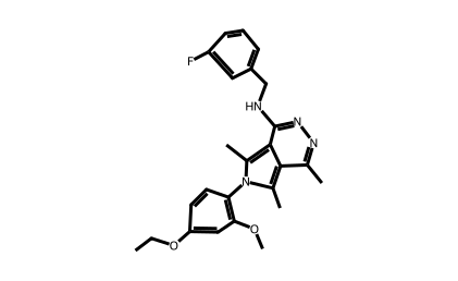 CCOc1ccc(-n2c(C)c3c(C)nnc(NCc4cccc(F)c4)c3c2C)c(OC)c1